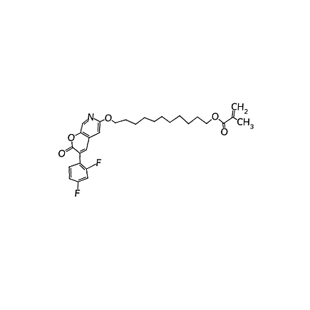 C=C(C)C(=O)OCCCCCCCCCCCOc1cc2cc(-c3ccc(F)cc3F)c(=O)oc2cn1